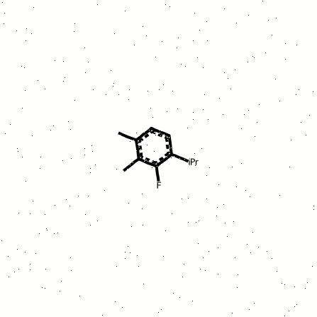 Cc1ccc(C(C)C)c(F)c1C